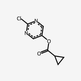 O=C(Oc1cnc(Cl)nc1)C1CC1